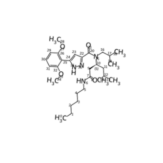 CCCCCCNC(=O)C[C@H](CC(C)C)N(CC(C)C)C(=O)c1cc(-c2c(OC)cccc2OC)[nH]n1